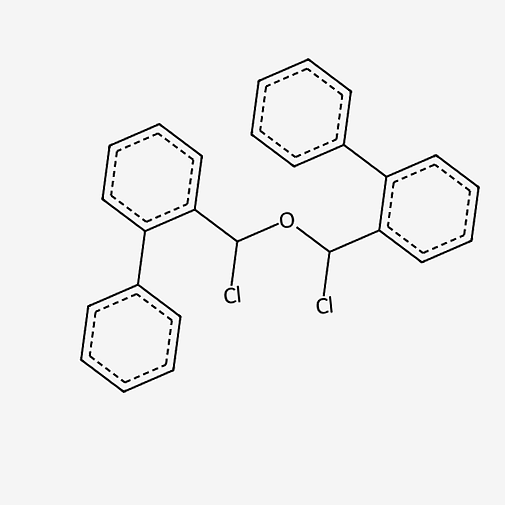 ClC(OC(Cl)c1ccccc1-c1ccccc1)c1ccccc1-c1ccccc1